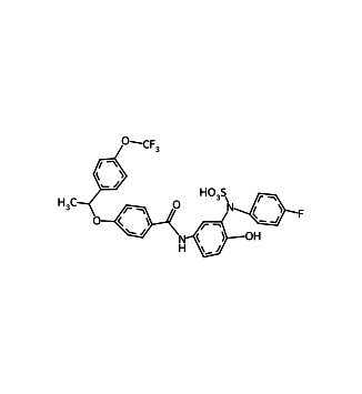 CC(Oc1ccc(C(=O)Nc2ccc(O)c(N(c3ccc(F)cc3)S(=O)(=O)O)c2)cc1)c1ccc(OC(F)(F)F)cc1